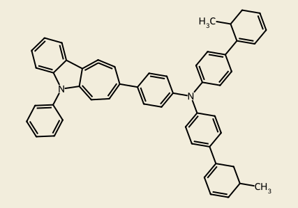 CC1C=CC=C(c2ccc(N(c3ccc(C4=CC=c5c(c6ccccc6n5-c5ccccc5)=C=C4)cc3)c3ccc(C4=CC=CCC4C)cc3)cc2)C1